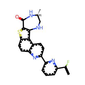 C=C(F)c1cccc(-c2ccc3c(ccc4sc5c(c43)NC[C@@H](C)NC5=O)n2)n1